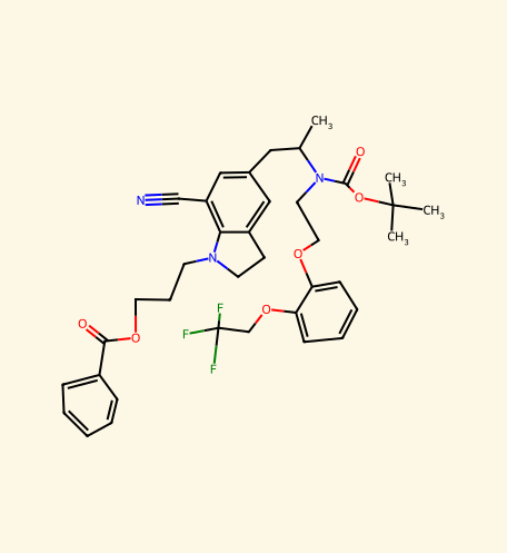 CC(Cc1cc(C#N)c2c(c1)CCN2CCCOC(=O)c1ccccc1)N(CCOc1ccccc1OCC(F)(F)F)C(=O)OC(C)(C)C